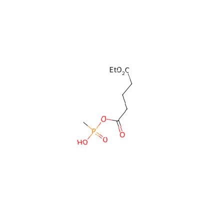 CCOC(=O)CCCC(=O)OP(C)(=O)O